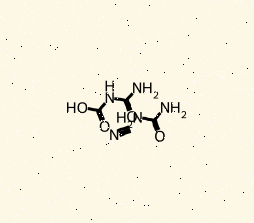 C#N.NC(=O)NC(=O)O.NC(N)=O